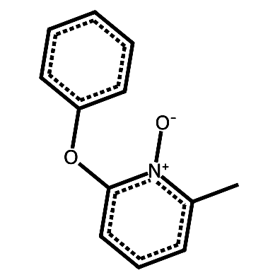 Cc1cccc(Oc2ccccc2)[n+]1[O-]